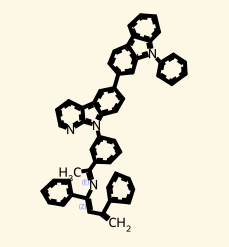 C=C(/C=C(\N=C(/C)c1cccc(-n2c3ccc(-c4ccc5c6ccccc6n(-c6ccccc6)c5c4)cc3c3cccnc32)c1)c1ccccc1)c1ccccc1